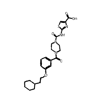 O=C(O)c1csc(NC(=O)N2CCN(C(=O)c3cccc(OCCC4CCCCC4)c3)CC2)n1